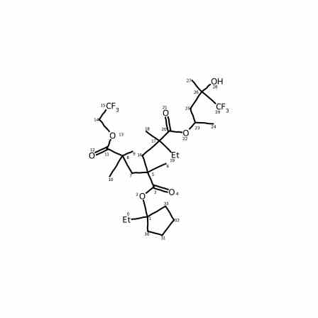 CCC1(OC(=O)C(C)(CC(C)(C)C(=O)OCC(F)(F)F)CC(C)(CC)C(=O)OC(C)CC(C)(O)C(F)(F)F)CCCC1